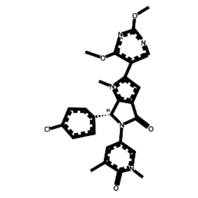 COc1ncc(-c2cc3c(n2C)[C@@H](c2ccc(Cl)cc2)N(c2cc(C)c(=O)n(C)c2)C3=O)c(OC)n1